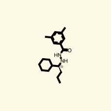 CCC[C@H](NNC(=O)c1cc(C)cc(C)c1)C1CCCCC1